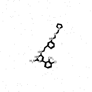 Cc1c(Cl)cccc1C1=CC(NCCc2cccc(NCOCN3CCCC3)c2)NC(N)=N1